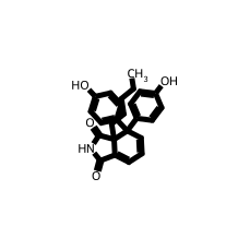 CCCCCC12C(=O)NC(=O)C1=CC=CC2(c1ccc(O)cc1)c1ccc(O)cc1